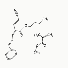 C=C(C)C(=O)OC.CCCCOC(=O)C(C=CC#N)=CC=Cc1ccccc1